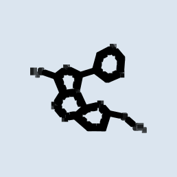 COc1ccc2nnc3c(C)nc(-c4cncnc4)n3c2n1